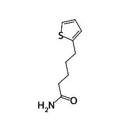 NC(=O)CCCCc1cccs1